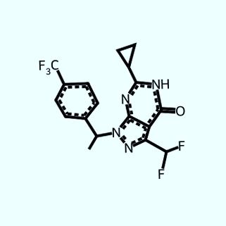 CC(c1ccc(C(F)(F)F)cc1)n1nc(C(F)F)c2c(=O)[nH]c(C3CC3)nc21